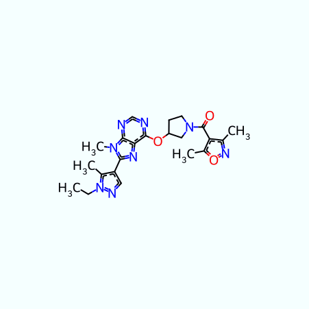 CCn1ncc(-c2nc3c(OC4CCN(C(=O)c5c(C)noc5C)C4)ncnc3n2C)c1C